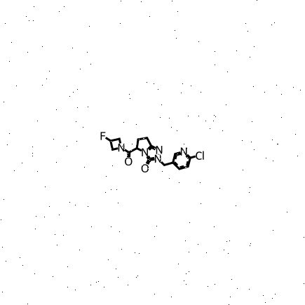 O=C(C1CCc2nn(Cc3ccc(Cl)nc3)c(=O)n21)N1CC(F)C1